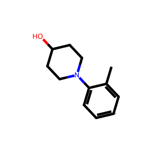 Cc1c[c]ccc1N1CCC(O)CC1